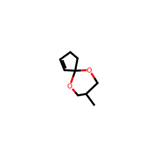 CC1COC2(C=CCC2)OC1